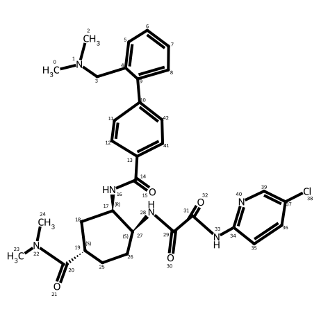 CN(C)Cc1ccccc1-c1ccc(C(=O)N[C@@H]2C[C@@H](C(=O)N(C)C)CC[C@@H]2NC(=O)C(=O)Nc2ccc(Cl)cn2)cc1